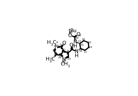 Cc1cn(C)c(=O)c2c(C(=O)N[C@H]3CCCC[C@@H]3NC(=O)OC(C)(C)C)cn(C)c12